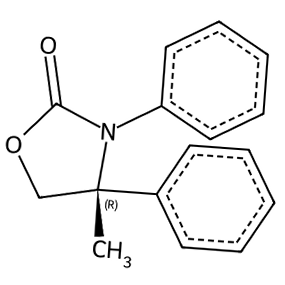 C[C@@]1(c2ccccc2)COC(=O)N1c1ccccc1